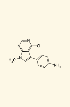 Cn1cc(-c2ccc(N)cc2)c2c(Cl)ncnc21